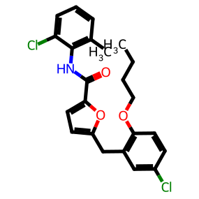 CCCCOc1ccc(Cl)cc1Cc1ccc(C(=O)Nc2c(C)cccc2Cl)o1